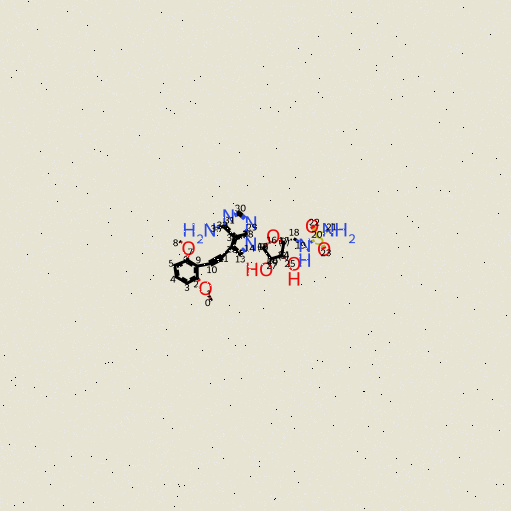 COc1cccc(OC)c1C#Cc1cn([C@@H]2O[C@H](CNS(N)(=O)=O)[C@@H](O)[C@H]2O)c2ncnc(N)c12